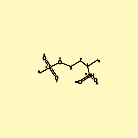 CC(CCOS(C)(=O)=O)[SH](=O)=O